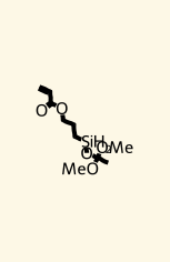 C=CC(=O)OCCC[SiH2]OC(C)(OC)OC